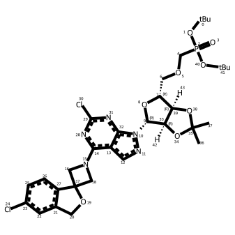 CC(C)(C)OP(=O)(COC[C@H]1O[C@@H](n2ncc3c(N4CC5(C4)OCc4cc(Cl)ccc45)nc(Cl)nc32)[C@@H]2OC(C)(C)O[C@@H]21)OC(C)(C)C